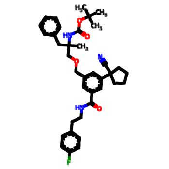 CC(COCc1cc(C(=O)NCCc2ccc(F)cc2)cc(C2(C#N)CCCC2)c1)(Cc1ccccc1)NC(=O)OC(C)(C)C